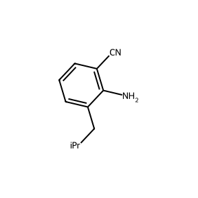 CC(C)Cc1cccc(C#N)c1N